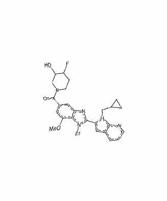 CCn1c(-c2cc3cccnc3n2CC2CC2)nc2cc(C(=O)N3CCC(F)C(O)C3)cc(OC)c21